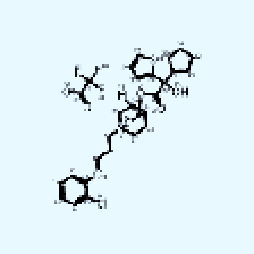 O=C(O[C@H]1C[N+]2(CCCOc3ccccc3Cl)CCC1CC2)[C@](O)(c1cccs1)C1CCCC1.O=C([O-])C(F)(F)F